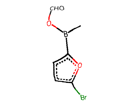 CB(OC=O)c1ccc(Br)o1